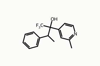 Cc1cc(C(O)(C(C)c2ccccc2)C(F)(F)F)ccn1